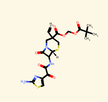 C=CC1(C(=O)OCOC(=O)C(C)(C)C)CS[C@@H]2C(NC(=O)C(=O)c3csc(N)n3)C(=O)N2C1